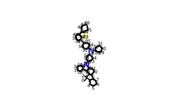 CC1(C)c2ccccc2-c2ccc3c(c21)c1ccccc1n3-c1ccc(N(c2ccccc2)c2ccc(-c3cccc4c3sc3ccccc34)cc2)cc1